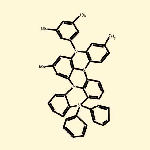 Cc1ccc2c(c1)N(c1cc(C(C)(C)C)cc(C(C)(C)C)c1)c1cc(C(C)(C)C)cc3c1B2c1cccc2c1N3c1ccccc1[Si]2(c1ccccc1)c1ccccc1